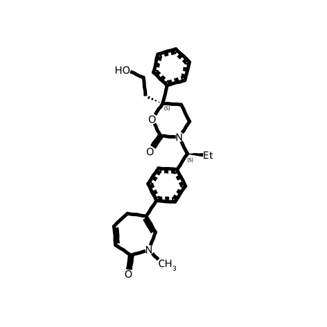 CC[C@@H](c1ccc(C2=CN(C)C(=O)C=CC2)cc1)N1CC[C@](CCO)(c2ccccc2)OC1=O